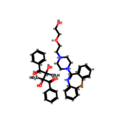 O=C(O)C(O)(C(=O)c1ccccc1)C(O)(C(=O)O)C(=O)c1ccccc1.OCCOCCN1CCN(C2=Nc3ccccc3Sc3ccccc32)CC1